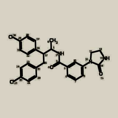 CC(NC(=O)c1cccc(N2CCNC2=O)c1)C(Cc1ccc(Cl)cc1)c1ccc(Cl)cc1